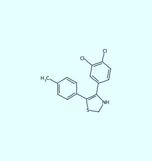 Cc1ccc(C2=C(c3ccc(Cl)c(Cl)c3)NCS2)cc1